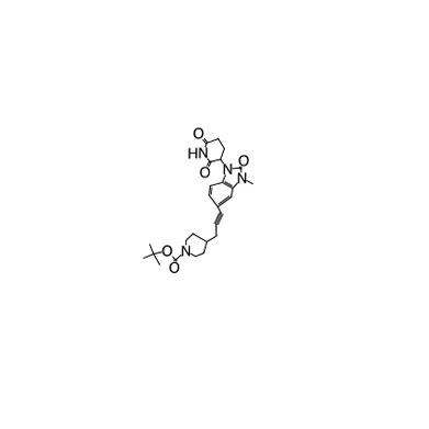 Cn1c(=O)n(C2CCC(=O)NC2=O)c2ccc(C#CCC3CCN(C(=O)OC(C)(C)C)CC3)cc21